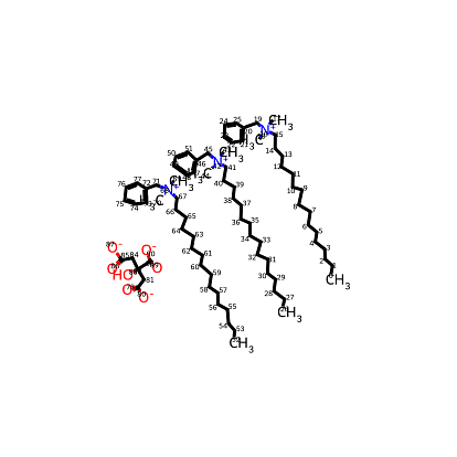 CCCCCCCCCCCCCCCC[N+](C)(C)Cc1ccccc1.CCCCCCCCCCCCCCCC[N+](C)(C)Cc1ccccc1.CCCCCCCCCCCCCCCC[N+](C)(C)Cc1ccccc1.O=C([O-])CC(O)(CC(=O)[O-])C(=O)[O-]